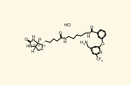 Cl.NCc1cc(Oc2cccc(C(=O)NCCCCCNC(=O)CCCC[C@@H]3SC[C@@H]4NC(=O)N[C@@H]43)c2)nc(C(F)(F)F)c1